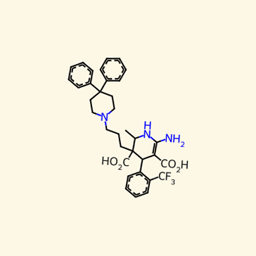 CC1NC(N)=C(C(=O)O)C(c2ccccc2C(F)(F)F)C1(CCCN1CCC(c2ccccc2)(c2ccccc2)CC1)C(=O)O